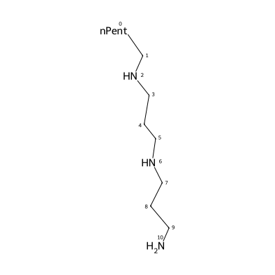 CCCCCCNCCCNCCCN